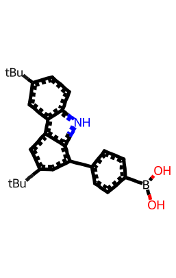 CC(C)(C)c1ccc2[nH]c3c(-c4ccc(B(O)O)cc4)cc(C(C)(C)C)cc3c2c1